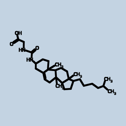 CC(C)CCCCC1CCC2C1(C)CCC1C3(C)CCC(NC(=O)NCC(=O)O)CC3=CCC12C